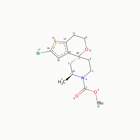 C[C@H]1C[C@@]2(CCN1C(=O)OC(C)(C)C)OCCc1sc(Br)cc12